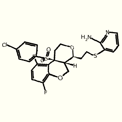 Nc1ncccc1SCC[C@@H]1OCC[C@@]2(S(=O)(=O)c3ccc(Cl)cc3)c3c(F)ccc(F)c3OC[C@@H]12